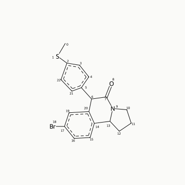 CSc1ccc(C2C(=O)N3CCCC3c3ccc(Br)cc32)cc1